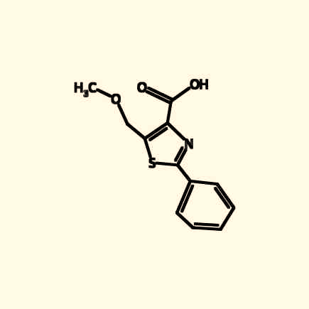 COCc1sc(-c2ccccc2)nc1C(=O)O